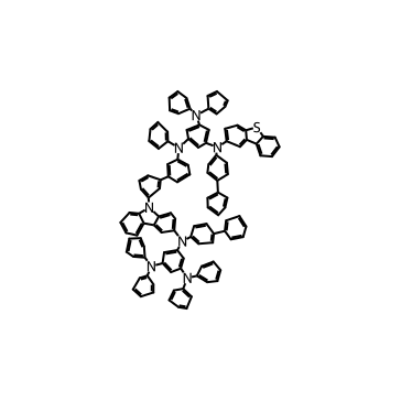 c1ccc(-c2ccc(N(c3cc(N(c4ccccc4)c4ccccc4)cc(N(c4ccccc4)c4cccc(-c5cccc(-n6c7ccccc7c7cc(N(c8ccc(-c9ccccc9)cc8)c8cc(N(c9ccccc9)c9ccccc9)cc(N(c9ccccc9)c9ccccc9)c8)ccc76)c5)c4)c3)c3ccc4sc5ccccc5c4c3)cc2)cc1